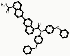 NC(=O)c1cccc2cc(-c3ccc4c(C(=O)N(c5ccc(Oc6ccccc6)cc5)c5ccc(Oc6ccccc6)cc5)cccc4c3)ccc12